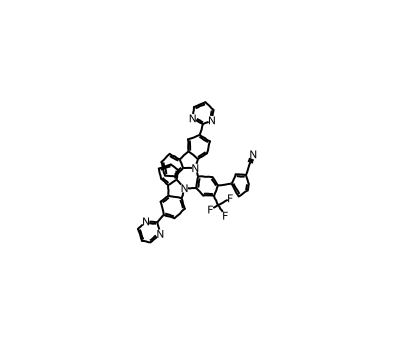 N#Cc1cccc(-c2cc(-n3c4ccccc4c4cc(-c5ncccn5)ccc43)c(-n3c4ccccc4c4cc(-c5ncccn5)ccc43)cc2C(F)(F)F)c1